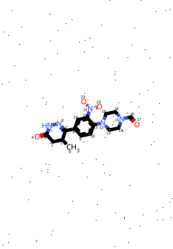 CC1CC(=O)NN=C1c1ccc(N2CCN(C=O)CC2)c([N+](=O)[O-])c1